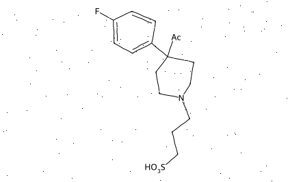 CC(=O)C1(c2ccc(F)cc2)CCN(CCCS(=O)(=O)O)CC1